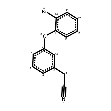 N#CCc1cccc(Oc2ccccc2Br)c1